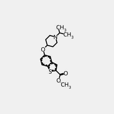 COC(=O)c1cc2cc(OC3CCN(C(C)C)CC3)ccc2s1